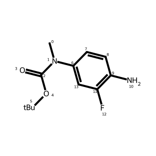 CN(C(=O)OC(C)(C)C)c1ccc(N)c(F)c1